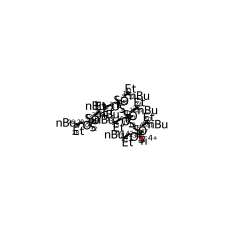 CCCCC(CC)COP(=S)([S-])OCC(CC)CCCC.CCCCC(CC)COP(=S)([S-])OCC(CC)CCCC.CCCCC(CC)COP(=S)([S-])OCC(CC)CCCC.CCCCC(CC)COP(=S)([S-])OCC(CC)CCCC.[Ti+4]